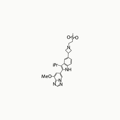 COc1cc(-c2[nH]c3ccc(C4CN(CCS(C)(=O)=O)C4)cc3c2C(C)C)cn2ncnc12